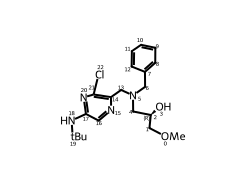 COC[C@H](O)CN(Cc1ccccc1)Cc1ncc(NC(C)(C)C)nc1Cl